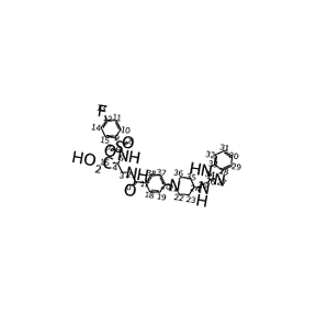 O=C(NC[C@H](NS(=O)(=O)c1ccc(F)cc1)C(=O)O)c1ccc(N2CCC(Nc3nc4ccccc4[nH]3)CC2)cc1